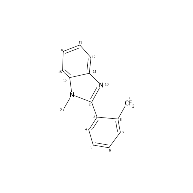 Cn1c(-c2ccccc2C(F)(F)F)nc2ccccc21